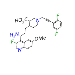 COc1ccc2ncc(F)c([C@H](N)CCC3CCN(CC#Cc4cc(F)ccc4F)CC3C(=O)O)c2c1